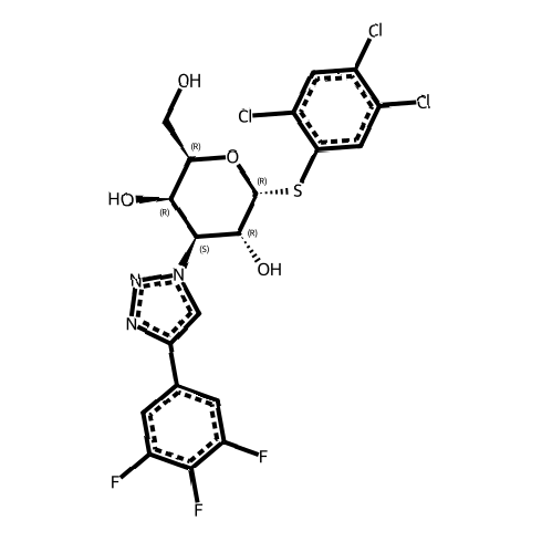 OC[C@H]1O[C@H](Sc2cc(Cl)c(Cl)cc2Cl)[C@H](O)[C@@H](n2cc(-c3cc(F)c(F)c(F)c3)nn2)[C@H]1O